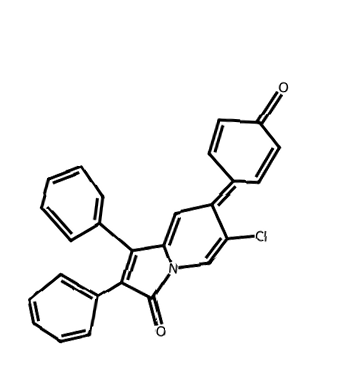 O=C1C=CC(=C2C=C3C(c4ccccc4)=C(c4ccccc4)C(=O)N3C=C2Cl)C=C1